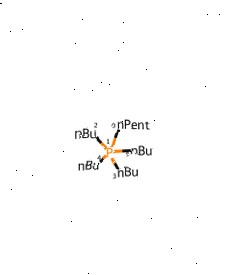 CCCCCP(CCCC)(CCCC)(CCCC)CCCC